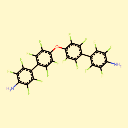 Nc1c(F)c(F)c(-c2c(F)c(F)c(Oc3c(F)c(F)c(-c4c(F)c(F)c(N)c(F)c4F)c(F)c3F)c(F)c2F)c(F)c1F